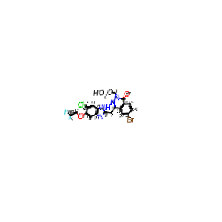 O=C(O)Cn1nc(Cc2nc3cc(OCC(F)F)c(Cl)cc3[nH]2)c2cc(Br)ccc2c1=O